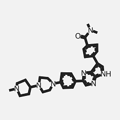 CN1CCC(N2CCN(c3ccc(-c4cnc5[nH]cc(-c6ccc(C(=O)N(C)C)cc6)c5n4)cc3)CC2)CC1